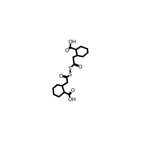 O=C(CC1CCCCC1C(=O)O)SSC(=O)CC1CCCCC1C(=O)O